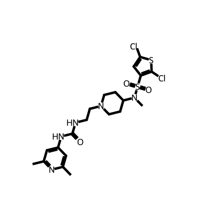 Cc1cc(NC(=O)NCCN2CCC(N(C)S(=O)(=O)c3cc(Cl)sc3Cl)CC2)cc(C)n1